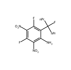 CCCC(F)(CCC)c1c(N)c([N+](=O)[O-])c(F)c([N+](=O)[O-])c1F